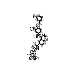 CC(C)S(=O)(=O)C(C)OCc1nc(-c2ccc3ncnc(Nc4ccc(OCc5cccc(F)c5)c(Cl)c4)c3c2)cs1